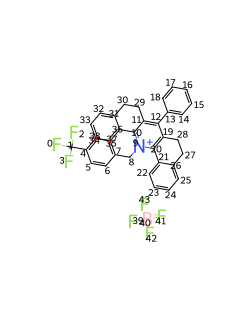 FC(F)(F)c1ccc(C[n+]2c3c(c(-c4ccccc4)c4c2-c2ccccc2CC4)CCc2ccccc2-3)cc1.F[B-](F)(F)F